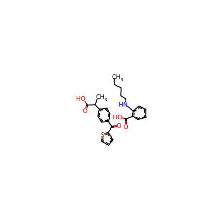 CC(C(=O)O)c1ccc(C(=O)c2cccs2)cc1.CCCCCNc1ccccc1C(=O)O